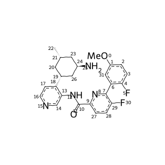 COc1ccc(F)c(-c2nc(C(=O)Nc3cnccc3[C@@H]3C[C@H](C)C[C@@H](N)C3)ccc2F)c1